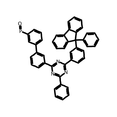 O=Pc1cccc(-c2cccc(-c3nc(-c4ccccc4)nc(-c4cccc(C5(c6ccccc6)c6ccccc6-c6ccccc65)c4)n3)c2)c1